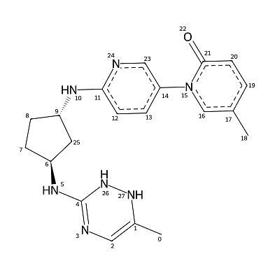 CC1=CN=C(N[C@H]2CC[C@H](Nc3ccc(-n4cc(C)ccc4=O)cn3)C2)NN1